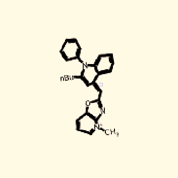 CCCCC1=C/C(=C\c2nc3c(ccc[n+]3C)o2)c2ccccc2N1c1ccccc1